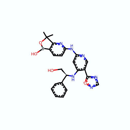 CC1(C)OB(O)c2ccc(Nc3cc(N[C@H](CO)c4ccccc4)c(-c4ncno4)cn3)nc21